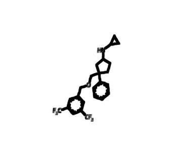 FC(F)(F)c1cc(COCC2(c3ccccc3)CCC(NC3CC3)C2)cc(C(F)(F)F)c1